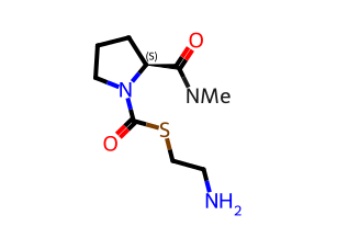 CNC(=O)[C@@H]1CCCN1C(=O)SCCN